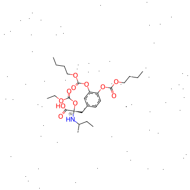 CCCCOC(=O)Oc1ccc(C[C@](NC(C)CC)(OC(=O)OCC)C(=O)O)cc1OC(=O)OCCCC